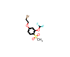 CS(=O)(=O)c1ccc(OCCBr)cc1OC(F)F